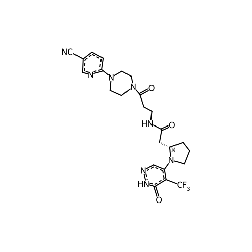 N#Cc1ccc(N2CCN(C(=O)CCNC(=O)C[C@@H]3CCCN3c3cn[nH]c(=O)c3C(F)(F)F)CC2)nc1